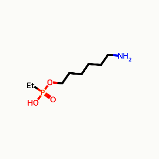 CCP(=O)(O)OCCCCCCN